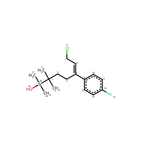 CC(C)(CC/C(=C\CCl)c1ccc(F)cc1)[Si](C)(C)O